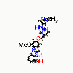 COc1cc(OCc2ccnc(Nc3cnn(C)c3)n2)cc2sc(NC3CCCC[C@@H]3O)nc12